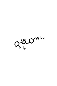 CCCCOCc1ccc(Cc2cc(-c3cccnc3N)on2)cc1